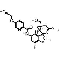 C#CCOc1ccc(C(=O)Nc2cc(F)c(F)c([C@@]3(C)N=C(N)S[C@@]4(CO)C[C@H]43)c2)nc1